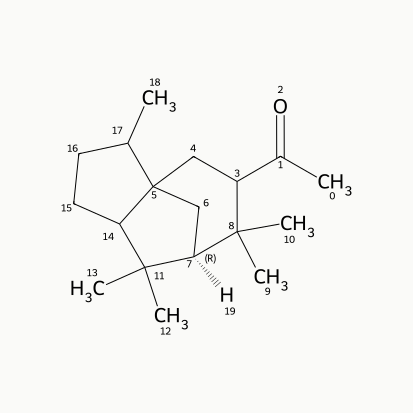 CC(=O)C1CC23C[C@@H](C1(C)C)C(C)(C)C2CCC3C